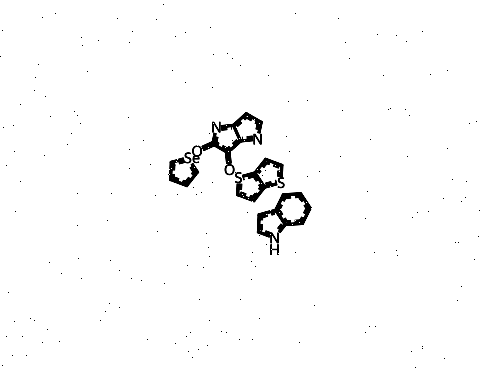 O=c1nc2ccnc-2c1=O.c1cc2sccc2s1.c1cc[se]c1.c1ccc2[nH]ccc2c1